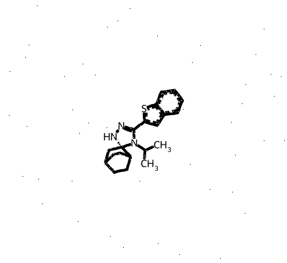 CC(C)N1C(c2cc3ccccc3s2)=NN[C@]12CC1CCC2CC1